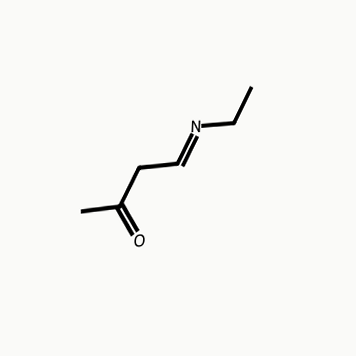 CCN=CCC(C)=O